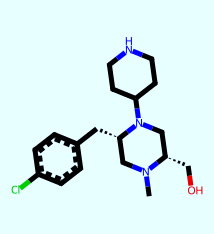 CN1C[C@H](Cc2ccc(Cl)cc2)N(C2CCNCC2)C[C@@H]1CO